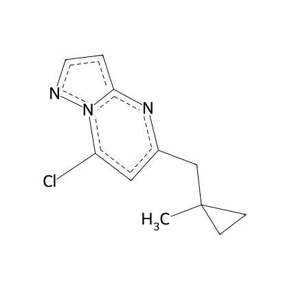 CC1(Cc2cc(Cl)n3nccc3n2)CC1